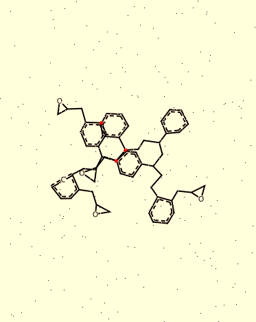 c1ccc(C(CCC(CC(CCc2ccccc2CC2CO2)c2ccc(CC3CO3)cc2)c2ccccc2)CC(CCc2ccccc2CC2CO2)c2ccc(CC3CO3)cc2)cc1